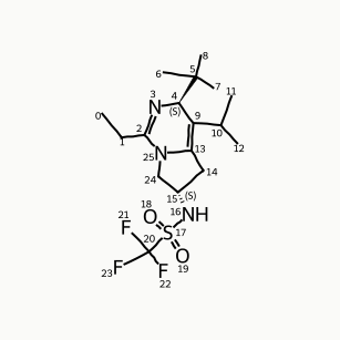 CCC1=N[C@@H](C(C)(C)C)C(C(C)C)=C2C[C@H](NS(=O)(=O)C(F)(F)F)CN12